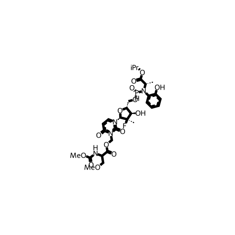 COCC(NC(=O)OC)C(=O)OCn1c(=O)ccn([C@@H]2O[C@H](CO[PH](=O)N(c3ccccc3O)[C@@H](C)C(=O)OC(C)C)[C@@H](O)[C@@]2(C)F)c1=O